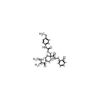 CCc1ccc(NC(=O)OCC2(C(=O)NCc3ccccc3Cl)CCN(C(=O)C(C)NC)CC2)cc1